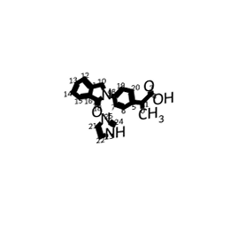 CC(C(=O)O)c1ccc(N2Cc3ccccc3C2=O)cc1.c1c[nH]cn1